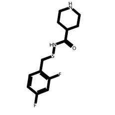 O=C(NSCc1ccc(F)cc1F)C1CCNCC1